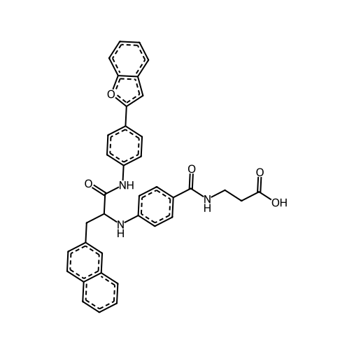 O=C(O)CCNC(=O)c1ccc(NC(Cc2ccc3ccccc3c2)C(=O)Nc2ccc(-c3cc4ccccc4o3)cc2)cc1